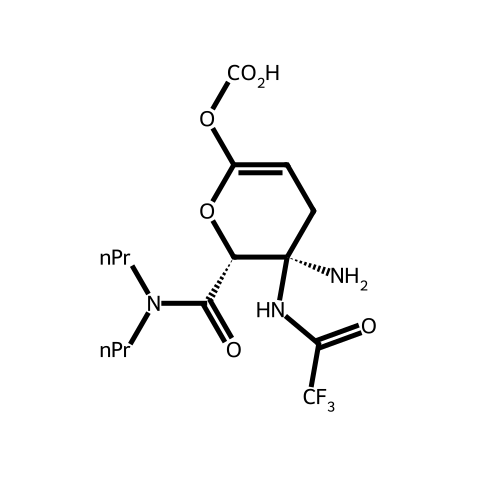 CCCN(CCC)C(=O)[C@@H]1OC(OC(=O)O)=CC[C@@]1(N)NC(=O)C(F)(F)F